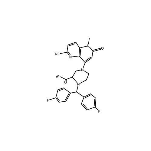 CC(C)C(=O)C1CN(c2cc(=O)n(C)c3ccc(C#N)nc23)CCN1C(c1ccc(F)cc1)c1ccc(F)cc1